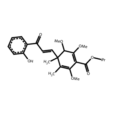 COC1=C(C)C(C)(C=CC(=O)c2ccccc2O)C(OC)C(OC)=C1C(=O)OC(C)C